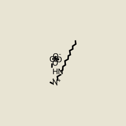 CCCCCCCCCCCCNCCC[N+](C)(C)CC.CCOS(=O)(=O)[O-]